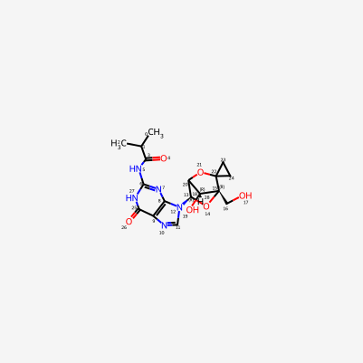 CC(C)C(=O)Nc1nc2c(ncn2[C@@H]2O[C@]3(CO)[C@H](O)C2OC32CC2)c(=O)[nH]1